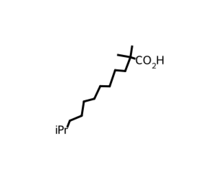 CC(C)CCCCCCCCC(C)(C)C(=O)O